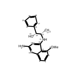 COc1cccc2nc(N)nc(N[C@@H](C)[C@H](O)c3ccccc3)c12